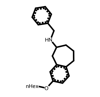 CCCCCCOc1ccc2c(c1)CC(NCc1ccccc1)CCC2